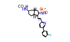 CS(=O)(=O)N[C@H]1C[C@H]2CC(NC(=O)O)CC[C@H]2[C@@H]1/C=C/c1ccc(-c2cccc(F)c2)cn1